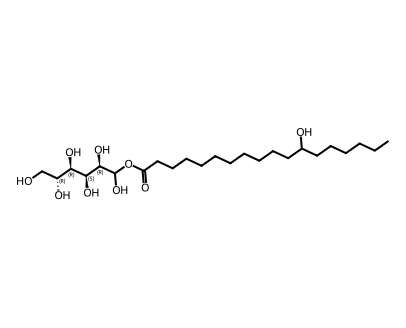 CCCCCCC(O)CCCCCCCCCCC(=O)OC(O)[C@H](O)[C@@H](O)[C@H](O)[C@H](O)CO